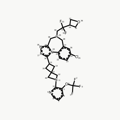 FC(F)(F)Oc1cccnc1N1CC2(CC(c3nnc4n3-c3ccc(Cl)cc3CN(CC(F)(F)C3COC3)C4)C2)C1